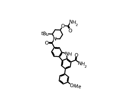 COc1cccc(-c2cc(C(N)=O)c3[nH]c4cc(C(=O)N5CCC(OC(N)=O)CC5C(C)(C)C)ccc4c3c2)c1